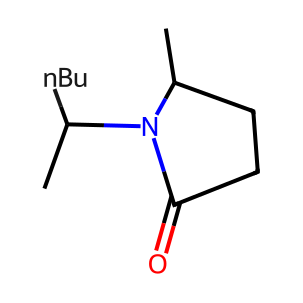 CCCCC(C)N1C(=O)CCC1C